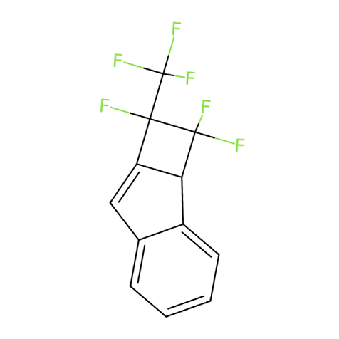 FC(F)(F)C1(F)C2=Cc3ccccc3C2C1(F)F